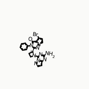 Nc1nc(N2CC[C@H]2c2nn3ccc(Br)c3c(=O)n2-c2ccccc2)n2nccc2n1